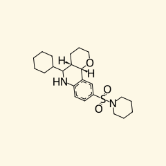 O=S(=O)(c1ccc2c(c1)[C@H]1OCCC[C@H]1C(C1CCCCC1)N2)N1CCCCC1